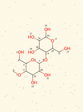 COC1C(CO)OC(OC2C(CO)OC(O)C(O)C2O)C(O)C1O